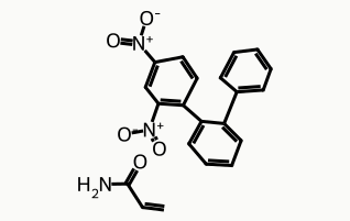 C=CC(N)=O.O=[N+]([O-])c1ccc(-c2ccccc2-c2ccccc2)c([N+](=O)[O-])c1